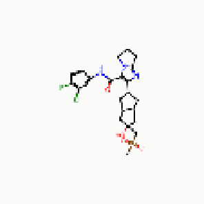 CS(=O)(=O)CC1(O)CC2CC(c3nc4n(c3C(=O)Nc3ccc(F)c(Cl)c3)CCC4)CC2C1